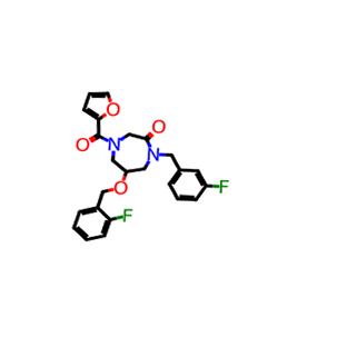 O=C1CN(C(=O)c2ccco2)CC(OCc2ccccc2F)CN1Cc1cccc(F)c1